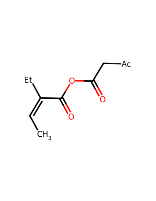 CC=C(CC)C(=O)OC(=O)CC(C)=O